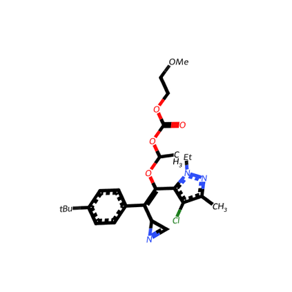 CCn1nc(C)c(Cl)c1/C(OC(C)OC(=O)OCCOC)=C(/c1ccc(C(C)(C)C)cc1)C1C=N1